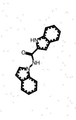 O=C(Nn1ccc2ccccc21)c1cc2ccccc2[nH]1